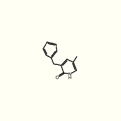 Cc1c[nH]c(=O)c(Cc2ccccc2)c1